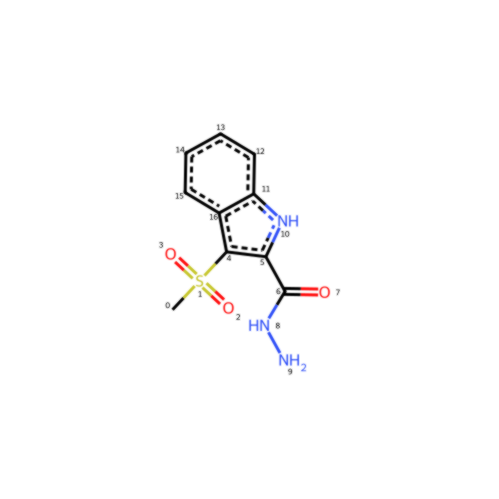 CS(=O)(=O)c1c(C(=O)NN)[nH]c2ccccc12